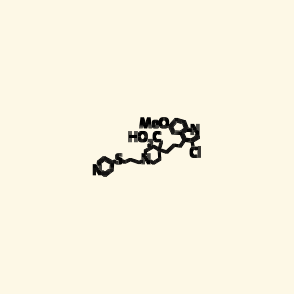 COc1ccc2ncc(Cl)c(CCCC3(CC(=O)O)CCN(CCCSc4ccncc4)CC3)c2c1